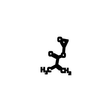 C=C(C)C(=O)OC1CO1